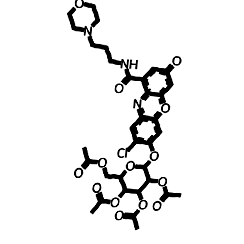 CC(=O)OCC1OC(Oc2cc3oc4cc(=O)cc(C(=O)NCCCN5CCOCC5)c-4nc3cc2Cl)C(OC(C)=O)C(OC(C)=O)C1OC(C)=O